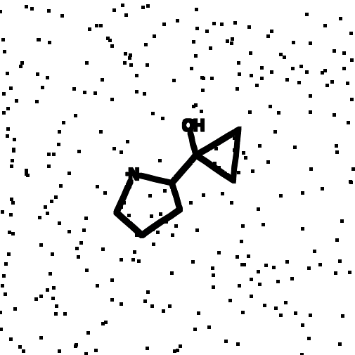 OC1(C2CCC[N]2)CC1